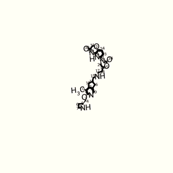 Cc1c(OC[C@@H]2CCN2)ncc2c1CC(CNCCC1CN(c3ccc4c(n3)NC(=O)CO4)C(=O)O1)C2